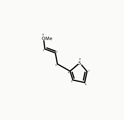 COC=CCc1cccs1